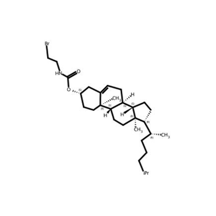 CC(C)CCC[C@@H](C)[C@H]1CC[C@H]2[C@@H]3CC=C4C[C@@H](OC(=O)NCCBr)CC[C@]4(C)[C@H]3CC[C@]12C